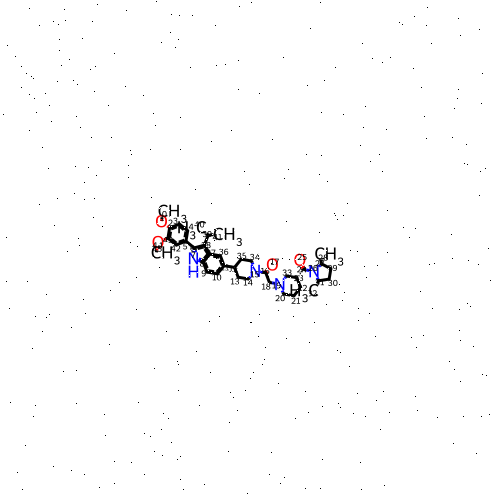 COc1ccc(-c2[nH]c3ccc(C4CCN(C(=O)CN5CCC[C@@H](C(=O)N6C(C)CCC6C)C5)CC4)cc3c2C(C)C)cc1OC